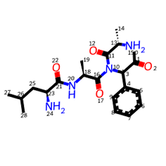 CC(=O)[C](c1ccccc1)N(C(=O)[C@H](C)N)C(=O)[C@H](C)NC(=O)[C@@H](N)CC(C)C